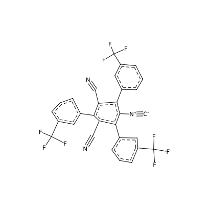 [C-]#[N+]c1c(-c2cccc(C(F)(F)F)c2)c(C#N)c(-c2cccc(C(F)(F)F)c2)c(C#N)c1-c1cccc(C(F)(F)F)c1